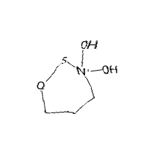 O[N+]1(O)CCCOS1